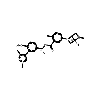 COc1ccc([C@@H](C)NC(=O)c2cc(N3C[C@H]4C3CN4C)ccc2C)cc1-c1cn(C)nc1C